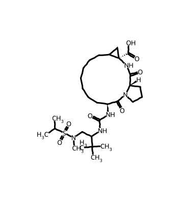 CC(C)S(=O)(=O)N(C)CC(NC(=O)N[C@H]1CCCCCCCC2C[C@@]2(C(=O)O)NC(=O)[C@@H]2CCCN2C1=O)C(C)(C)C